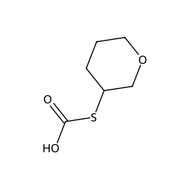 O=C(O)SC1CCCOC1